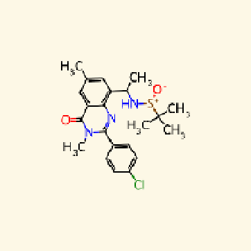 Cc1cc([C@@H](C)N[S@+]([O-])C(C)(C)C)c2nc(-c3ccc(Cl)cc3)n(C)c(=O)c2c1